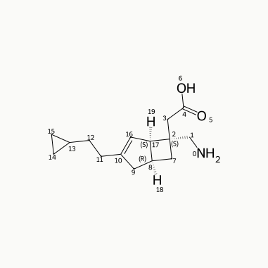 NC[C@]1(CC(=O)O)C[C@H]2CC(CCC3CC3)=C[C@H]21